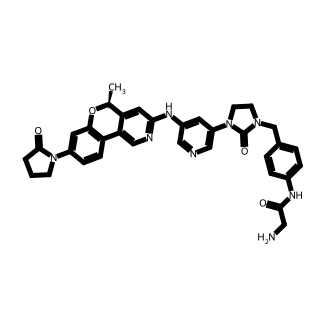 C[C@@H]1Oc2cc(N3CCCC3=O)ccc2-c2cnc(Nc3cncc(N4CCN(Cc5ccc(NC(=O)CN)cc5)C4=O)c3)cc21